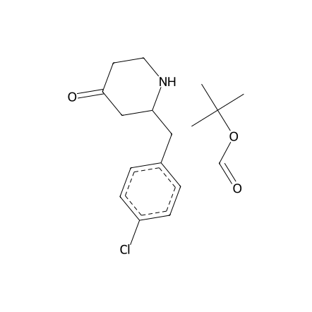 CC(C)(C)OC=O.O=C1CCNC(Cc2ccc(Cl)cc2)C1